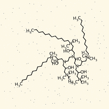 CCCCCCCCCCCC[N+](C)(C)CC(O)CN(CCN(CC(O)C[N+](C)(C)C)CC(O)C[N+](C)(C)CCCCCCCCCCCC)CCN(CC(O)C[N+](C)(C)C)CC(O)C[N+](C)(C)CCCCCCCCCCCC